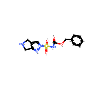 O=C(NS(=O)(=O)n1cc2c(n1)CNC2)OCc1ccccc1